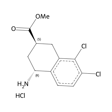 COC(=O)[C@H]1Cc2c(ccc(Cl)c2Cl)[C@H](N)C1.Cl